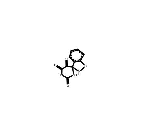 O=C1NC(=O)C(=O)C2(NOc3ccccc32)N1